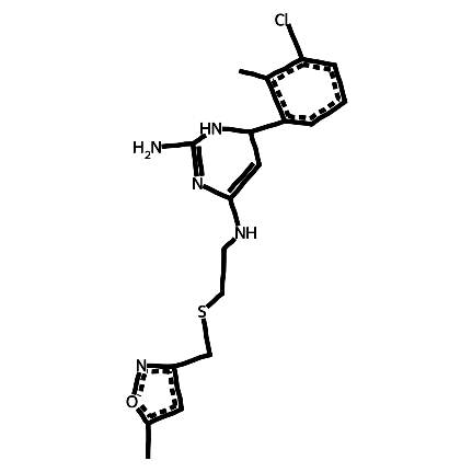 Cc1cc(CSCCNC2=CC(c3cccc(Cl)c3C)NC(N)=N2)no1